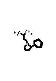 CC(C)CCN1CCCC1c1ccccc1